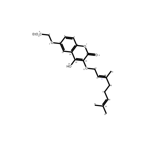 CCOC(=O)COc1ccc2oc(=O)c(OC/C=C(\C)CCC=C(C)C)c(O)c2c1